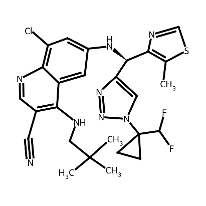 Cc1scnc1[C@H](Nc1cc(Cl)c2ncc(C#N)c(NCC(C)(C)C)c2c1)c1cn(C2(C(F)F)CC2)nn1